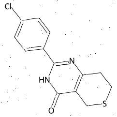 O=c1[nH]c(-c2ccc(Cl)cc2)nc2c1CSCC2